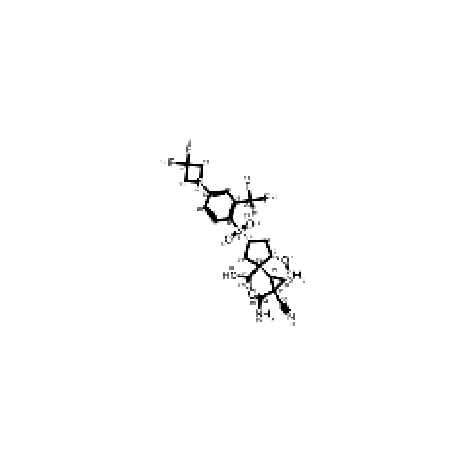 CO[C@H]1C[C@@H](S(=O)(=O)c2ccc(N3CC(F)(F)C3)cc2C(F)(F)F)C[C@]1(C(=O)O)C1CC1(C#N)C(N)=O